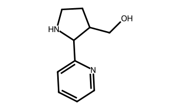 OCC1CCNC1c1ccccn1